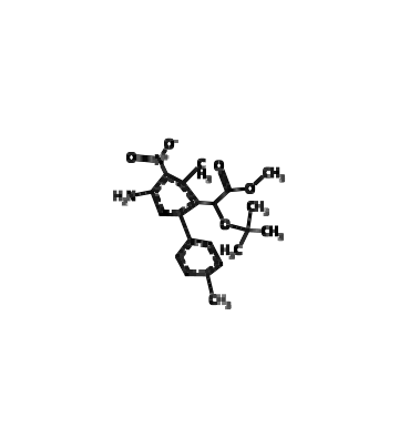 COC(=O)C(OC(C)(C)C)c1c(-c2ccc(C)cc2)cc(N)c([N+](=O)[O-])c1C